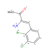 COC(=O)/C(N)=C/c1cccc(Cl)c1Br